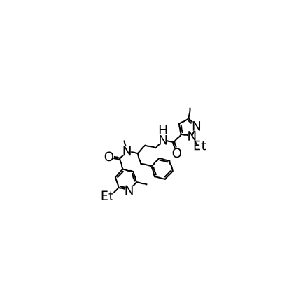 CCc1cc(C(=O)N(C)C(CCNC(=O)c2cc(C)nn2CC)Cc2ccccc2)cc(C)n1